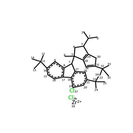 CC(C)C1CC(C)(C2c3cc(C(C)(C)C)ccc3-c3ccc(C(C)(C)C)cc32)C2=C1CC(C(C)(C)C)=C2.[Cl-].[Cl-].[Zr+2]